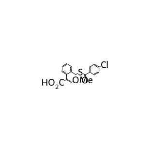 CO/C=C(/C(=O)O)c1ccccc1CSC(=O)c1ccc(Cl)cc1